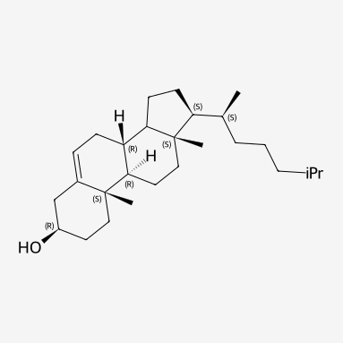 CC(C)CCC[C@H](C)[C@@H]1CCC2[C@H]3CC=C4C[C@H](O)CC[C@@]4(C)[C@@H]3CC[C@]21C